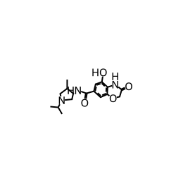 CC1CN(C(C)C)CC1NC(=O)c1cc(O)c2c(c1)OCC(=O)N2